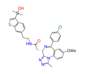 COc1ccc2c(c1)C(c1ccc(Cl)cc1)=N[C@@H](CC(=O)NCCc1ccc3c([Si](C)(C)O)csc3c1)c1nnc(C)n1-2